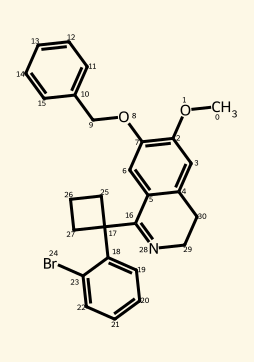 COc1cc2c(cc1OCc1ccccc1)C(C1(c3ccccc3Br)CCC1)=NCC2